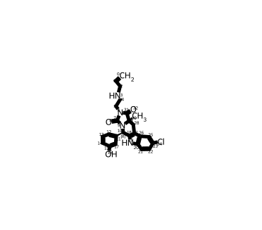 C=CCNCCN1C(=O)N2[C@H](c3cccc(O)c3)c3[nH]c4ccc(Cl)cc4c3C[C@@]2(C)C1=O